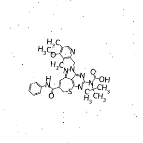 COc1c(C)cnc(Cn2nc3c4c(nc(N(C(=O)O)C(C)(C)C)nc42)SCC(C(=O)Nc2ccccc2)=C3)c1C